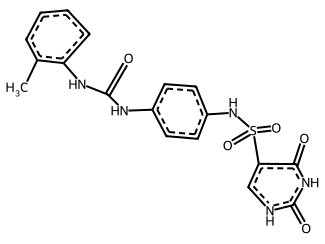 Cc1ccccc1NC(=O)Nc1ccc(NS(=O)(=O)c2c[nH]c(=O)[nH]c2=O)cc1